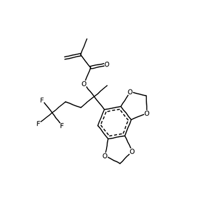 C=C(C)C(=O)OC(C)(CCC(F)(F)F)c1cc2c(c3c1OCO3)OCO2